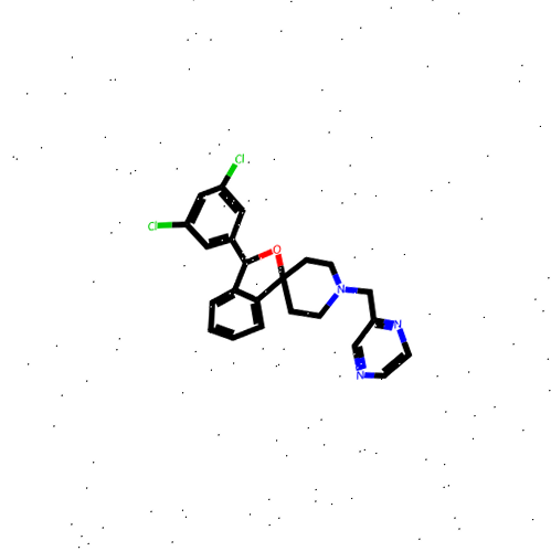 Clc1cc(Cl)cc(C2OC3(CCN(Cc4cnccn4)CC3)c3ccccc32)c1